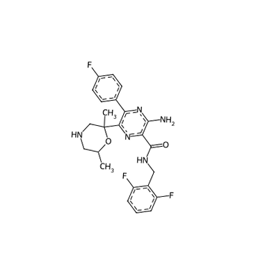 CC1CNCC(C)(c2nc(C(=O)NCc3c(F)cccc3F)c(N)nc2-c2ccc(F)cc2)O1